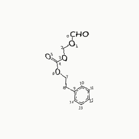 O=COCOC(=O)OCCc1ccccc1